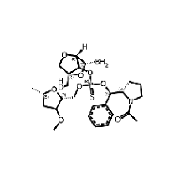 B[C@@H]1O[C@]2(CO)CO[C@H]1C2O[P@@](=S)(OC[C@H]1O[C@@H](C)CC1OC)O[C@H](c1ccccc1)[C@@H]1CCCN1C(C)=O